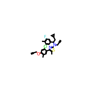 C#CCOc1cc(Cl)c(-c2nc(N(CC#C)C(CC3CC3)c3ccc(C)c(F)c3)sc2C)cc1C